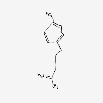 C=C(C)[CH]CCc1ccc(O)cc1